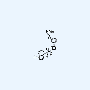 CNCCOc1cccc(-n2ccc(NC(=O)N[C@H]3CCOc4c(Cl)cccc43)n2)c1